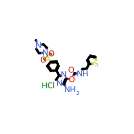 CN1CCN(S(=O)(=O)c2ccc(-c3cnc(N)c(OC(=O)NCCc4cccs4)n3)cc2)CC1.Cl